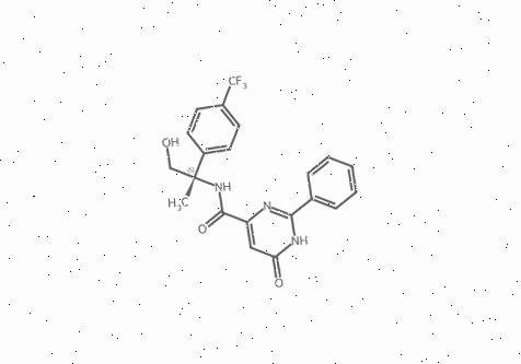 C[C@](CO)(NC(=O)c1cc(=O)[nH]c(-c2ccccc2)n1)c1ccc(C(F)(F)F)cc1